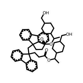 CC(OC(=O)CCC1(CC2(CCC(=O)OC(C)C3CCC(CO)CC3)c3ccccc3-c3ccccc32)c2ccccc2-c2ccccc21)C1CCC(CO)CC1